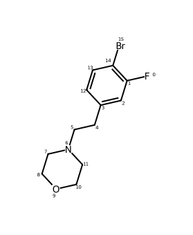 Fc1cc(CCN2CCOCC2)ccc1Br